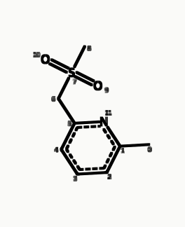 Cc1cccc(CS(C)(=O)=O)n1